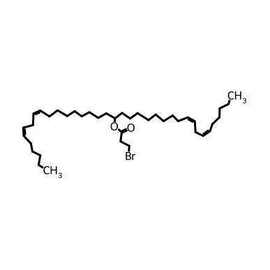 CCCCC/C=C\C/C=C\CCCCCCCCC(CCCCCCCC/C=C\C/C=C\CCCCC)OC(=O)CCBr